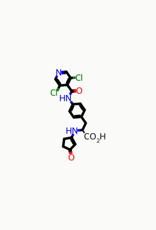 O=C1C=C(N[C@@H](Cc2ccc(NC(=O)c3c(Cl)cncc3Cl)cc2)C(=O)O)CC1